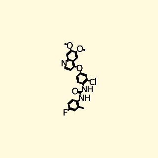 COc1cc2nccc(Oc3ccc(NC(=O)Nc4ccc(F)cc4C)c(Cl)c3)c2cc1OC